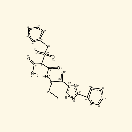 CCC(NC(=O)C(C(N)=O)S(=O)(=O)Cc1ccccc1)C(=O)c1nc(-c2ccccc2)no1